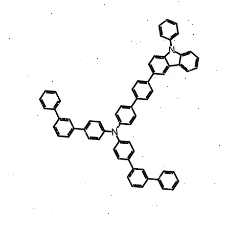 c1ccc(-c2cccc(-c3ccc(N(c4ccc(-c5ccc(-c6ccc7c(c6)c6ccccc6n7-c6ccccc6)cc5)cc4)c4ccc(-c5cccc(-c6ccccc6)c5)cc4)cc3)c2)cc1